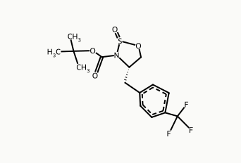 CC(C)(C)OC(=O)N1[C@@H](Cc2ccc(C(F)(F)F)cc2)COS1=O